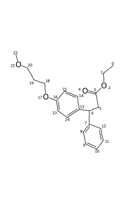 CCOC(=O)CC(c1ccccc1)c1ccc(OCCCOC)cc1